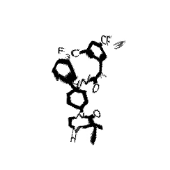 C[C@H](C(=O)NC1(c2ccccc2)CCC(N2CCNC(C)(C)C2=O)CC1)c1cc(C(F)(F)F)cc(C(F)(F)F)c1